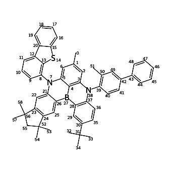 Cc1cc2c3c(c1)N(c1cccc4c1sc1ccccc14)c1cc4c(cc1B3c1cc(C(C)(C)C)ccc1N2c1ccc(-c2ccccc2)cc1C)C(C)(C)CC4(C)C